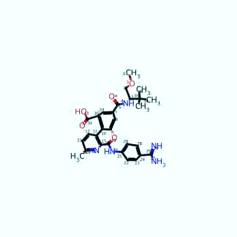 COCC(NC(=O)c1ccc(-c2ccc(C)nc2C(=O)Nc2ccc(C(=N)N)cc2)c(C(=O)O)c1)C(C)(C)C